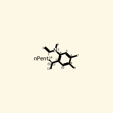 C=CN(C)c1cc(C)c(C)cc1[C@@H](C)CCCCC